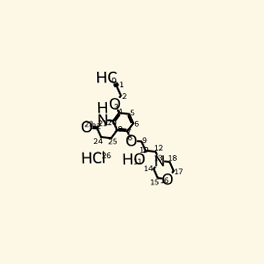 C#CCOc1ccc(OCC(O)CN2CCOCC2)c2c1NC(=O)CC2.Cl